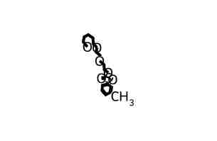 Cc1cccc(S(=O)(=O)OCCOCCOC2CCCCO2)c1